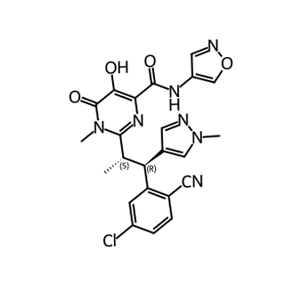 C[C@H](c1nc(C(=O)Nc2cnoc2)c(O)c(=O)n1C)[C@@H](c1cnn(C)c1)c1cc(Cl)ccc1C#N